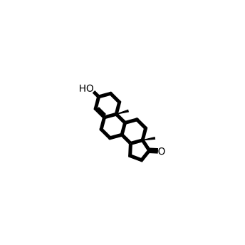 C[C@]12CCC(O)C=C1CCC1C2CC[C@]2(C)C(=O)CCC12